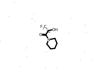 O=C([C@@H](O)C(F)(F)F)N1CCCCC1